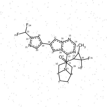 CC1C(C(=O)N2C3CCC2CN(c2ncnn4cc(-c5cnn(C(F)F)c5)cc24)C3)C1(F)F